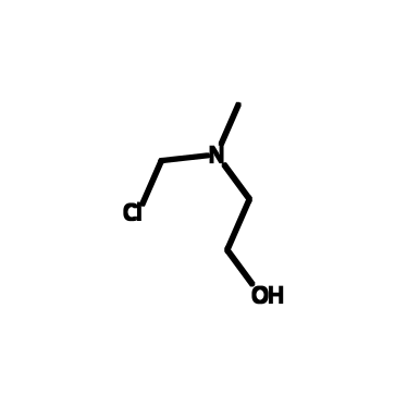 CN(CCl)CCO